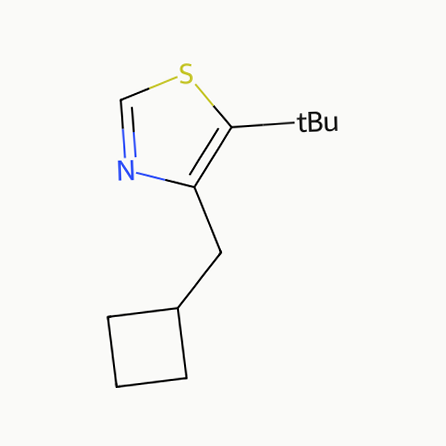 CC(C)(C)c1scnc1CC1CCC1